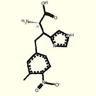 Cc1cc(CC(c2c[nH]cn2)[C@H](N)C(=O)O)ccc1[N+](=O)[O-]